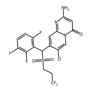 Nc1cc(=O)n2cc(Cl)c(C(c3c(F)ccc(F)c3F)S(=O)(=O)CCC(F)(F)F)cc2n1